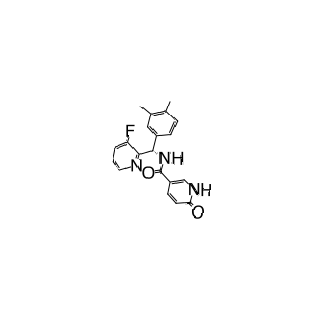 Cc1ccc([C@H](NC(=O)c2ccc(=O)[nH]c2)c2ncccc2F)cc1C